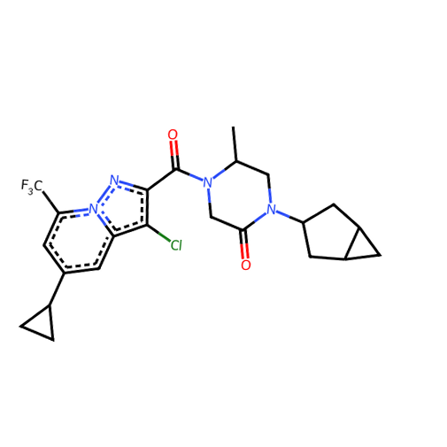 CC1CN(C2CC3CC3C2)C(=O)CN1C(=O)c1nn2c(C(F)(F)F)cc(C3CC3)cc2c1Cl